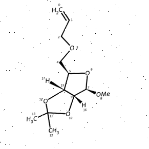 C=CCOC[C@H]1O[C@@H](OC)[C@@H]2OC(C)(C)O[C@@H]21